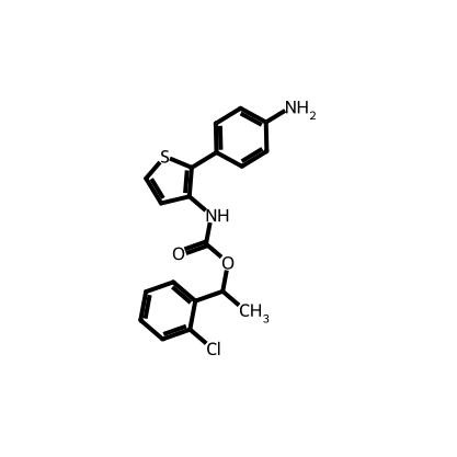 CC(OC(=O)Nc1ccsc1-c1ccc(N)cc1)c1ccccc1Cl